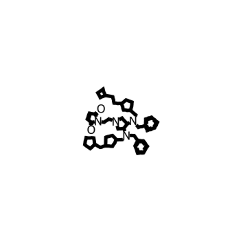 O=C1C=CC(=O)N1CCN1CC(N(Cc2ccccc2)CC2CCC(CCC3CCC3)C2)C(N(Cc2ccccc2)CC2CCC(CC3CCCC3)C2)C1